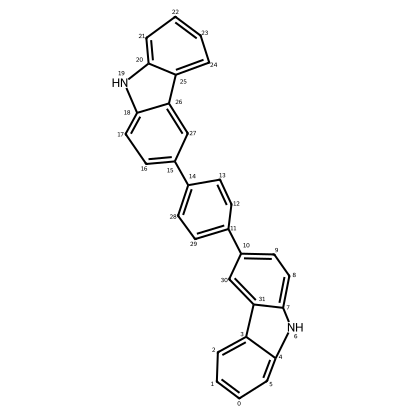 c1ccc2c(c1)[nH]c1ccc(-c3ccc(-c4ccc5[nH]c6ccccc6c5c4)cc3)cc12